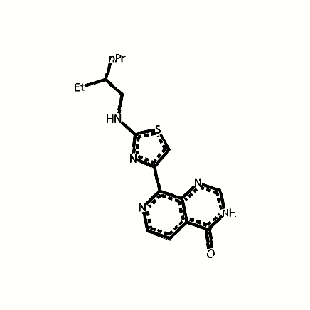 CCCC(CC)CNc1nc(-c2nccc3c(=O)[nH]cnc23)cs1